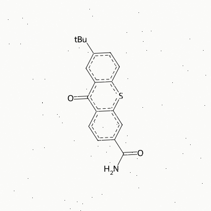 CC(C)(C)c1ccc2sc3cc(C(N)=O)ccc3c(=O)c2c1